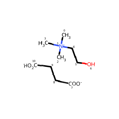 C[N+](C)(C)CCO.O=C([O-])CCC(=O)O